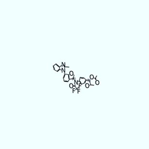 CC(=O)O[C@H]1c2ccc(N(C(=O)C(F)(F)F)[C@H]3COc4c3cccc4-n3c(C)nc4ccccc43)cc2OC1C